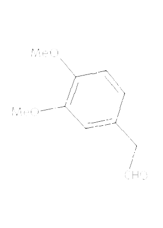 COc1ccc(C[C]=O)cc1OC